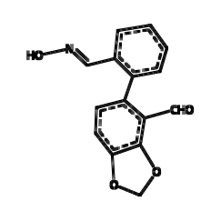 O=Cc1c(-c2ccccc2C=NO)ccc2c1OCO2